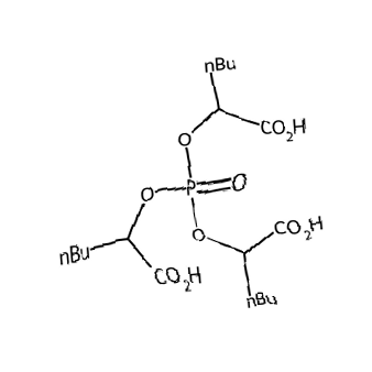 CCCCC(OP(=O)(OC(CCCC)C(=O)O)OC(CCCC)C(=O)O)C(=O)O